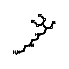 CCOC(CNCCNCCN)N(OCC)OCC